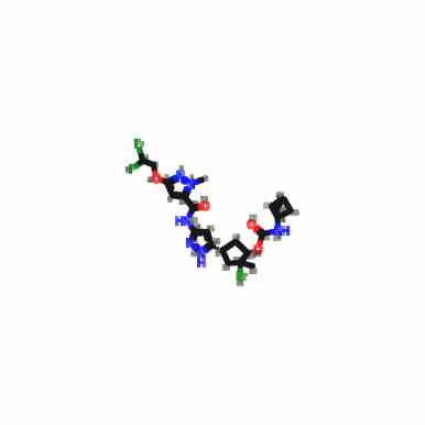 Cn1nc(OCC(F)F)cc1C(=O)Nc1cc([C@@H]2C[C@H](OC(=O)NC34CC(C3)C4)C(C)(Br)C2)[nH]n1